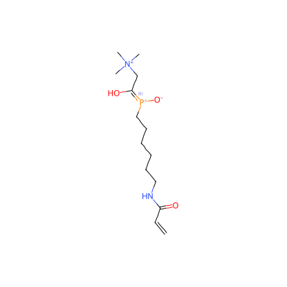 C=CC(=O)NCCCCCC/[P+]([O-])=C(\O)C[N+](C)(C)C